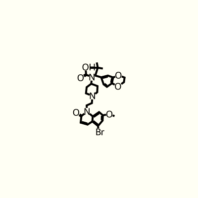 COc1cc(Br)c2ccc(=O)n(CCN3CCC(N(C(=O)O)C(c4ccc5c(c4)OCCO5)C(C)(C)C)CC3)c2c1